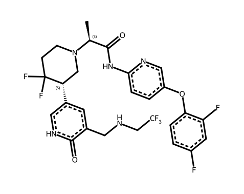 C[C@@H](C(=O)Nc1ccc(Oc2ccc(F)cc2F)cn1)N1CCC(F)(F)[C@@H](c2c[nH]c(=O)c(CNCC(F)(F)F)c2)C1